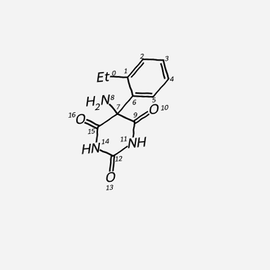 CCc1ccccc1C1(N)C(=O)NC(=O)NC1=O